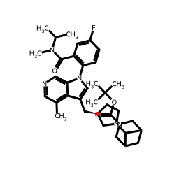 Cc1cncc2c1c(C[C@H]1CCN(C3C4CC3CN(C(=O)OC(C)(C)C)C4)C1)cn2-c1ccc(F)cc1C(=O)N(C)C(C)C